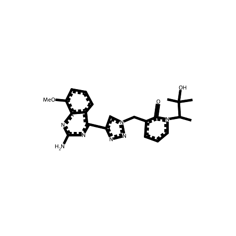 COc1cccc2c(-c3cn(Cc4cccn(C(C)C(C)(C)O)c4=O)nn3)nc(N)nc12